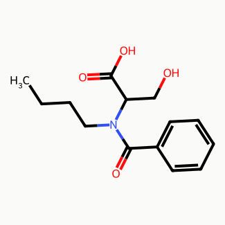 CCCCN(C(=O)c1ccccc1)C(CO)C(=O)O